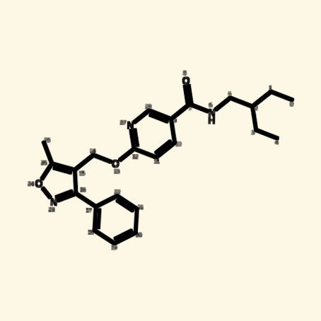 CCC(CC)CNC(=O)c1ccc(OCc2c(-c3ccccc3)noc2C)nc1